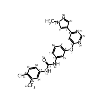 Cn1cc(-c2cc(Oc3cccc(NC(=O)Nc4ccc(Cl)c(C(F)(F)F)c4)c3)ncn2)cn1